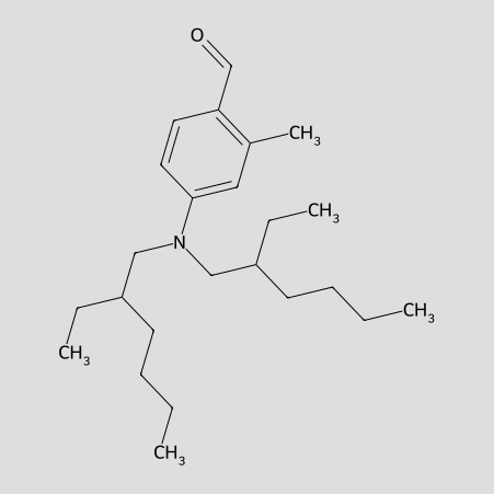 CCCCC(CC)CN(CC(CC)CCCC)c1ccc(C=O)c(C)c1